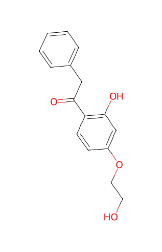 O=C(Cc1ccccc1)c1ccc(OCCO)cc1O